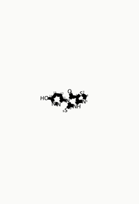 O=c1c2scnc2[nH]c(=S)n1-c1ccc(O)nn1